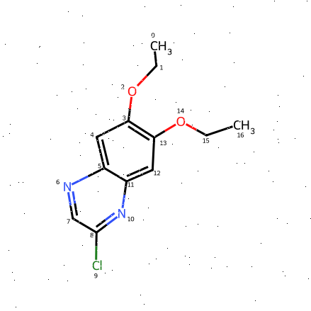 CCOc1cc2ncc(Cl)nc2cc1OCC